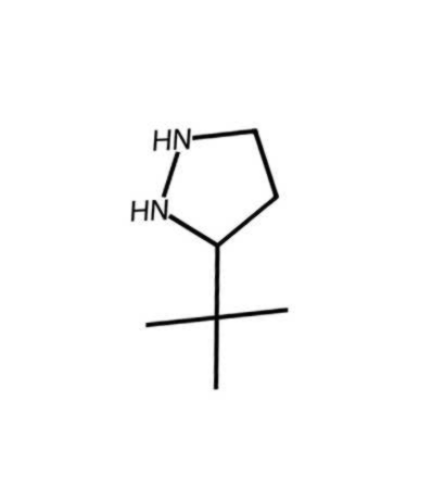 CC(C)(C)C1CCNN1